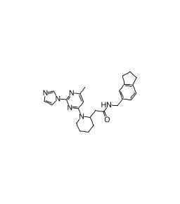 Cc1cc(N2CCCCC2CC(=O)NCc2ccc3c(c2)CCC3)nc(-n2ccnc2)n1